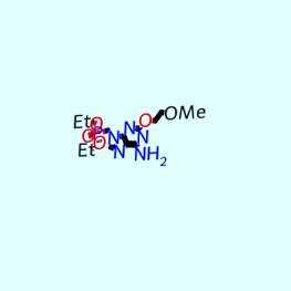 CCOP(=O)(Cn1cnc2c(N)nc(OCCOC)nc21)OCC